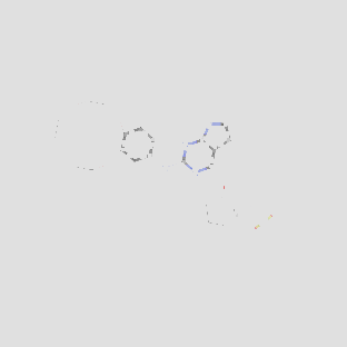 CN([C@@H]1CCC[C@H]1Oc1nc(Nc2ccc3c(c2)OCCOCCOCCO3)nc2[nH]ccc12)S(C)(=O)=O